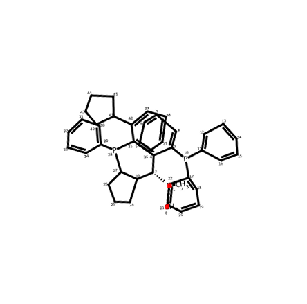 CN(C)[C@@H](c1ccccc1P(c1ccccc1)c1ccccc1)C1CCCC1P(c1ccccc1)c1ccccc1C1CCCC1